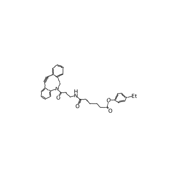 CCc1ccc(OC(=O)CCCCC(=O)NCCC(=O)N2Cc3ccccc3C#Cc3ccccc32)cc1